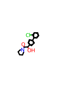 O=C(C(O)c1ccc(-c2ccccc2Cl)cc1)N1CCCCC1